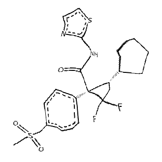 CS(=O)(=O)c1ccc([C@]2(C(=O)Nc3nccs3)[C@H](C3CCCC3)C2(F)F)cc1